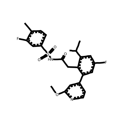 COc1cc(-c2cc(F)cc(C(C)C)c2CC(=O)NS(=O)(=O)c2ccc(C)c(F)c2)ccn1